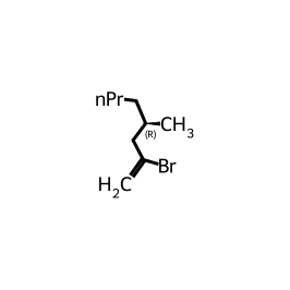 C=C(Br)C[C@H](C)CCCC